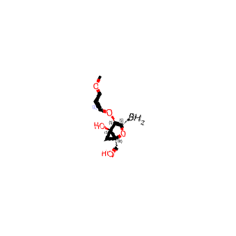 B[C@@H]1O[C@@]2(CO)C[C@]2(O)[C@H]1O/C=C\COC